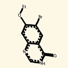 CCOc1cc2nc[nH]c(=O)c2cc1Br